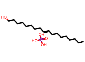 CCCCCCCCC=CCCCCCCCCO.O=P(O)(O)O